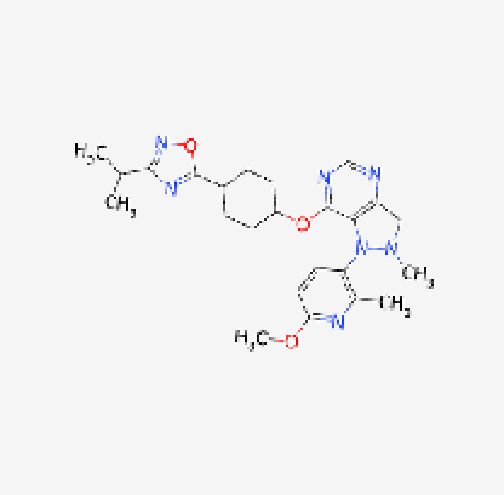 COc1ccc(N2c3c(ncnc3OC3CCC(c4nc(C(C)C)no4)CC3)CN2C)c(C)n1